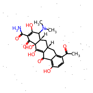 CC(=O)c1ccc(O)c2c1C[C@H]1C[C@H]3C(N(C)C)C(O)=C(C(N)=O)C(=O)[C@@]3(O)C(O)=C1C2=O